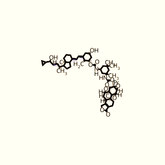 C=C1/C(=C\C=C2/CCC[C@@]3(C)C2CCC3[C@@H](C)/C=C/C(O)C2CC2)C[C@@H](O)C[C@@H]1OC(=O)NC1CC(C)(C)CC(C)(NC(=O)O[C@@H]2[C@@]3(C(C)C)O[C@H]3[C@@H]3O[C@]34[C@]23O[C@H]3C[C@H]2C3=C(CC[C@@]24C)C(=O)OC3)C1